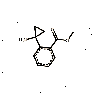 COC(=O)c1ccccc1C1(N)CC1